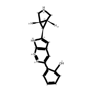 Oc1ccccc1-c1cc2cc([C@H]3[C@@H]4CNC[C@@H]43)[nH]c2nn1